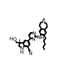 CCCCCc1cc2c(cc1Nc1nccc(-c3cc(C#N)c4c(c3)[C@@](C)(CO)CN4)n1)CCN(C)CC2